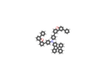 c1ccc(-c2ccc3oc4ccc(-c5ccc(N(c6ccc(-c7cccc8c7oc7c(-c9ccccc9)cccc78)cc6)c6ccc7c(c6)-c6ccccc6C7(c6ccccc6)c6ccccc6)cc5)cc4c3c2)cc1